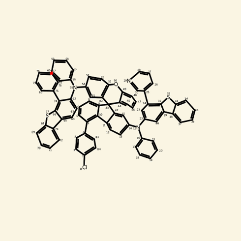 Clc1ccc(-c2cccc3c2-c2ccc(N(c4ccccc4)c4cc(-c5cccnc5)c5sc6ccccc6c5c4)cc2C32c3ccccc3Oc3ccc(N(c4ccccc4)c4ccc5c(sc6ccccc65)c4-c4ccccc4)cc32)cc1